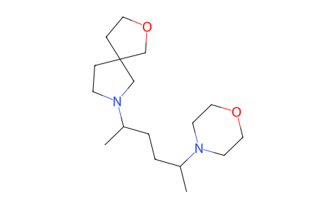 CC(CCC(C)N1CCC2(CCOC2)C1)N1CCOCC1